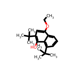 CCOc1cc(C(C)(C)C)c(O)c2c(C(C)(C)C)cccc12